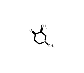 C=C1CN(C)CCC1=O